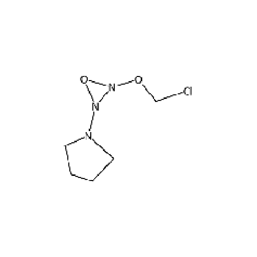 ClCOn1on1N1CCCC1